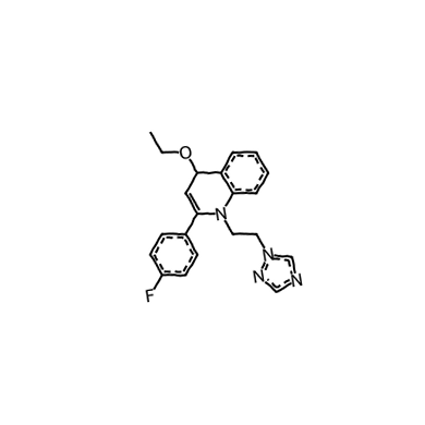 CCOC1C=C(c2ccc(F)cc2)N(CCn2cncn2)c2ccccc21